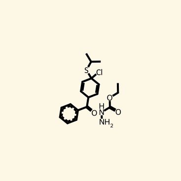 CC(C)SC1(Cl)C=CC(C(=O)c2ccccc2)C=C1.CCOC(=O)NN